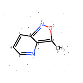 Cc1onc2cccnc12